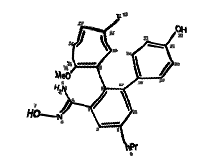 CCCc1cc(/C(N)=N/O)c(-c2cc(F)ccc2OC)c(-c2ccc(O)cc2)c1